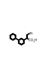 CC(C)C=C(C(=O)O)c1cccc(-c2ccccc2)c1